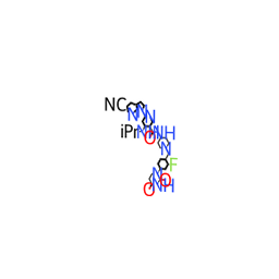 CC(C)Nc1cc(-n2ccc3cc(C#N)cnc32)ncc1C(=O)NC1CCN(Cc2ccc(N3CCC(=O)NC3=O)cc2F)CC1